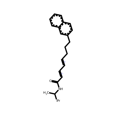 CC(C)C(C)NC(=O)/C=C/C=C/CCCc1ccc2ccccc2c1